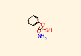 NO[As](O)Oc1ccccc1